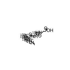 CCN1CC[15N]([13CH2][13CH]2[13CH2][13CH2][13CH2][15N]2CC(=O)NCC[13CH2][13C](=O)NCCCC(=O)O)[13CH2][13CH2]1